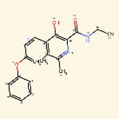 C=C(/C=C\c1c(C)c(C)nc(C(=O)NCC#N)c1O)Oc1ccccc1